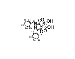 O=C(O)C(C(=O)O)n1c(=O)c(-c2ccccc2)nn(Cc2ccccc2)c1=O